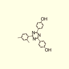 Cc1ccc(-c2nc(-c3ccc(O)cc3)nc(-c3ccc(O)cc3)n2)c(C)c1